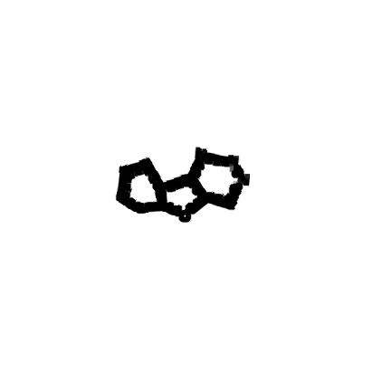 c1ccc2c(c1)oc1cnnnc12